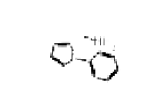 CN.c1ccc(-n2cccc2)cc1